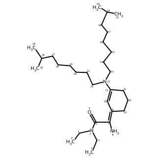 CCN(CC)C(=O)/C(N)=C1\C=C(N(CCCCCCC(C)C)CCCCCCC(C)C)CCC1